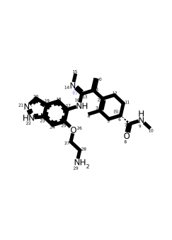 C=C(C1=C(C)C[C@@H](C(=O)NC)CC1)/C(=N\C)Nc1cc2cn[nH]c2cc1OCCN